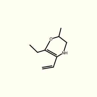 C=CC1=C(CC)OC(C)CN1